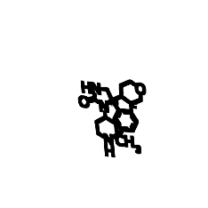 Cc1ccc(F)c([C@]2(C3CCOCC3)CNC(=O)N2C2CCNCC2)c1